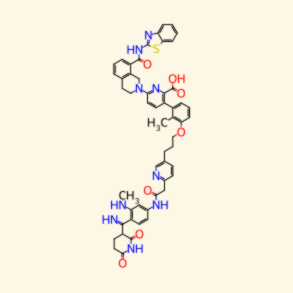 CNc1cc(NC(=O)Cc2ccc(CCCOc3cccc(-c4ccc(N5CCc6cccc(C(=O)Nc7nc8ccccc8s7)c6C5)nc4C(=O)O)c3C)cn2)ccc1C(=N)C1CCC(=O)NC1=O